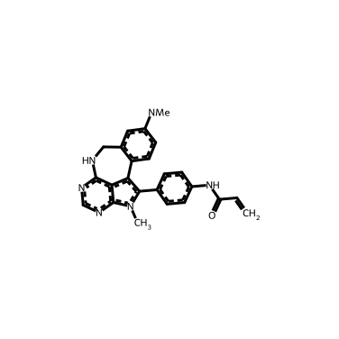 C=CC(=O)Nc1ccc(-c2c3c4c(ncnc4n2C)NCc2cc(NC)ccc2-3)cc1